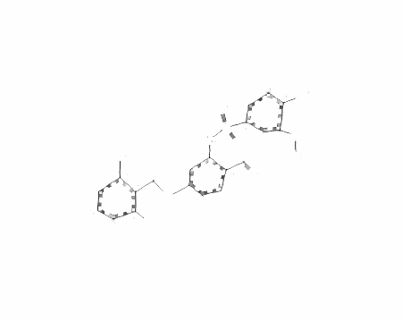 COc1cc(S(=O)(=O)Nc2cc(OCc3c(F)cccc3Cl)ccc2C=O)ccc1F